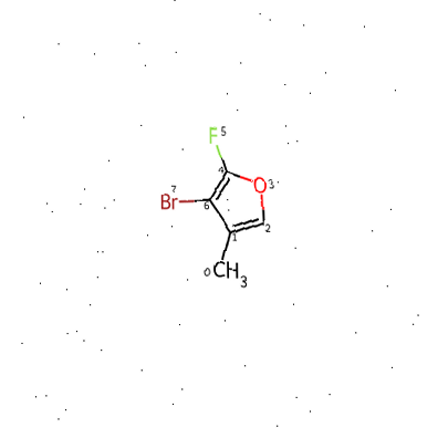 Cc1coc(F)c1Br